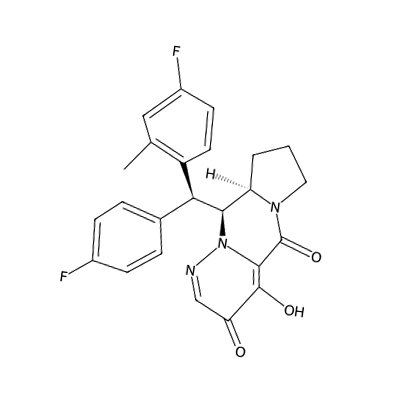 Cc1cc(F)ccc1[C@H](c1ccc(F)cc1)[C@H]1[C@H]2CCCN2C(=O)c2c(O)c(=O)cnn21